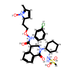 CC1=[N+]([O-])C(CCONC(=O)[C@@H]2c3ccccc3C(=O)N([C@H]3CCCC[C@@H]3NS(C)(=O)=O)[C@H]2c2ccc(Cl)cc2)C=C1